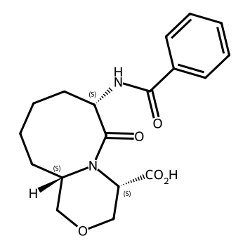 O=C(N[C@H]1CCCC[C@H]2COC[C@@H](C(=O)O)N2C1=O)c1ccccc1